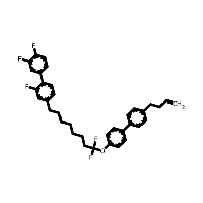 C=CCCc1ccc(-c2ccc(OC(F)(F)CCCCCCCc3ccc(-c4ccc(F)c(F)c4)c(F)c3)cc2)cc1